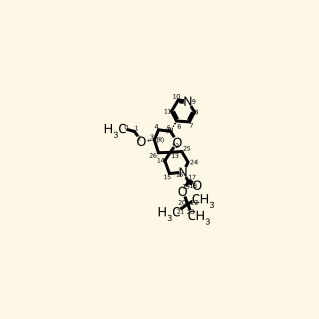 CCO[C@@H]1C[C@H](c2ccncc2)OC2(CCN(C(=O)OC(C)(C)C)CC2)C1